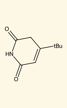 CC(C)(C)C1=CC(=O)NC(=O)C1